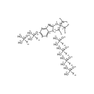 CN(C)[PH](Oc1nc2ccccc2s1)(N(C)C)N(C)C.O=P(O)(O)F.O=P(O)(O)F.O=P(O)(O)F.O=P(O)(O)F.O=P(O)(O)F.O=P(O)(O)F